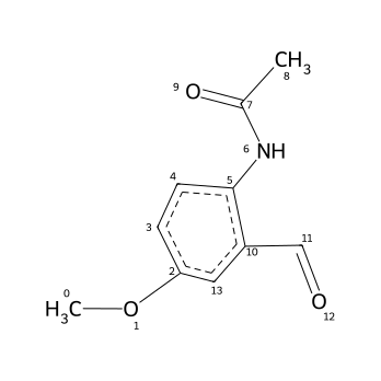 COc1ccc(NC(C)=O)c(C=O)c1